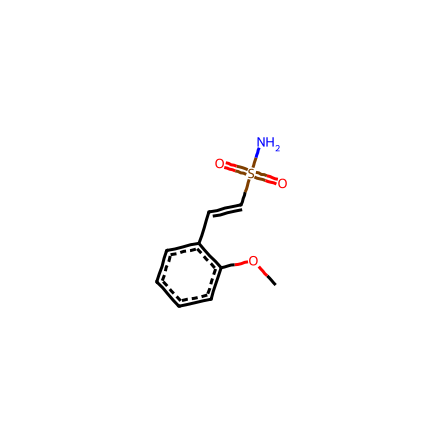 COc1ccccc1C=CS(N)(=O)=O